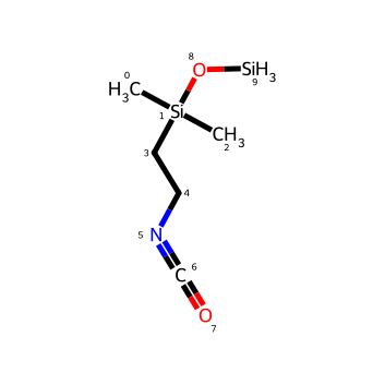 C[Si](C)(CCN=C=O)O[SiH3]